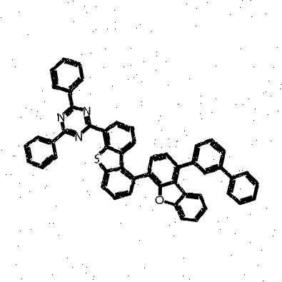 c1ccc(-c2cccc(-c3ccc(-c4cccc5sc6c(-c7nc(-c8ccccc8)nc(-c8ccccc8)n7)cccc6c45)c4oc5ccccc5c34)c2)cc1